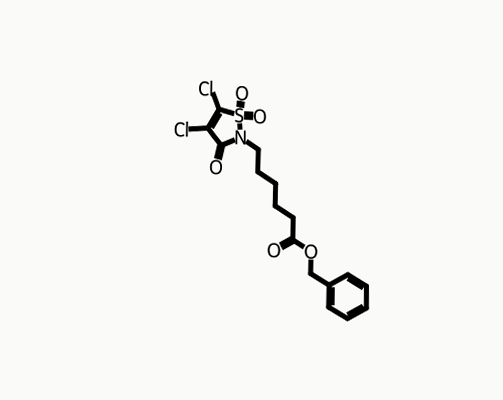 O=C(CCCCCN1C(=O)C(Cl)=C(Cl)S1(=O)=O)OCc1ccccc1